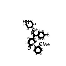 COc1ccccc1-n1cc(C(=NOC2CCNCC2)c2ccc(F)cc2F)ccc1=O